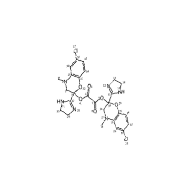 CN1CC(OC(=O)C(=O)OC2(C3=NCCN3)CN(C)c3cc(Cl)ccc3O2)(C2=NCCN2)Oc2ccc(Cl)cc21